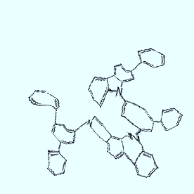 c1ccc(-c2cc(-c3ccccc3)cc(-n3ccc4c3ccc3c5ccccc5n(-c5cc(-c6ccccc6)cc(-n6c7ccccc7c7ccc(-c8ccccc8)cc76)c5)c34)c2)cc1